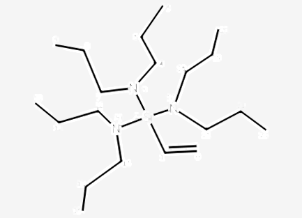 C=C[Si](N(CCC)CCC)(N(CCC)CCC)N(CCC)CCC